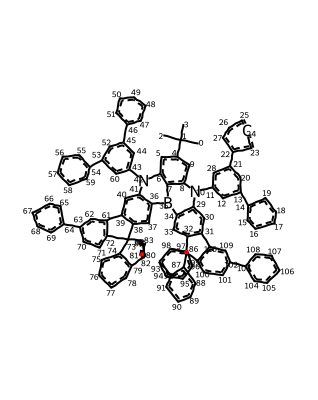 CC(C)(C)c1cc2c3c(c1)N(c1cc(-c4ccccc4)cc(-c4ccccc4)c1)c1cc4c(cc1B3c1cc3c(cc1N2c1cc(-c2ccccc2)cc(-c2ccccc2)c1)-c1cc(-c2ccccc2)ccc1C31c2ccccc2-c2ccccc21)C1(c2ccccc2-c2ccccc21)c1ccc(-c2ccccc2)cc1-4